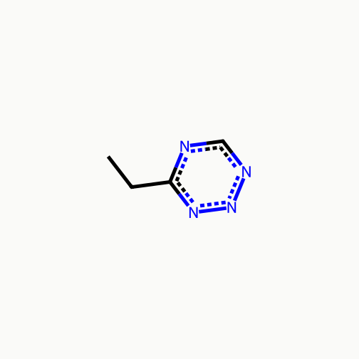 CCc1ncnnn1